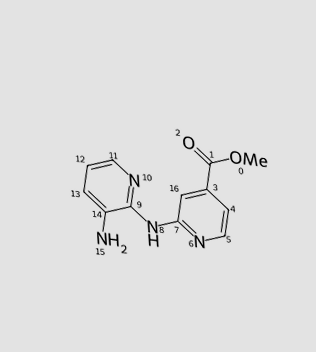 COC(=O)c1ccnc(Nc2ncccc2N)c1